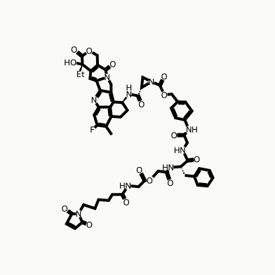 CC[C@@]1(O)C(=O)OCc2c1cc1n(c2=O)Cc2c-1nc1cc(F)c(C)c3c1c2[C@@H](NC(=O)[C@@H]1CN1C(=O)OCc1ccc(NC(=O)CNC(=O)[C@H](Cc2ccccc2)NC(=O)COC(=O)CNC(=O)CCCCCN2C(=O)C=CC2=O)cc1)CC3